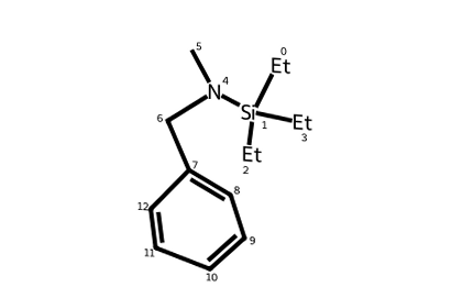 CC[Si](CC)(CC)N(C)Cc1ccccc1